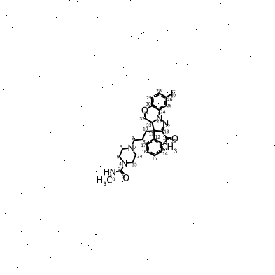 CNC(=O)N1CCN(CCC[C@]2(c3ccccc3)C(C(C)=O)=NN3c4cc(F)ccc4OCC32)CC1